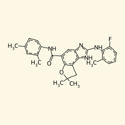 Cc1ccc(NC(=O)c2cc3nc(Nc4c(C)cccc4F)[nH]c3c3c2OC(C)(C)C3)c(C)c1